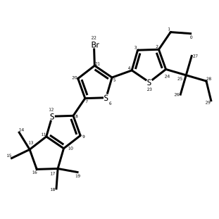 CCc1cc(-c2sc(-c3cc4c(s3)C(C)(C)CC4(C)C)cc2Br)sc1C(C)(C)CC